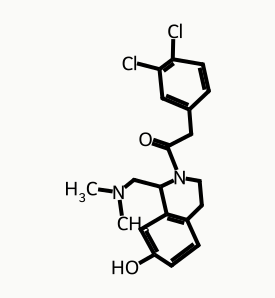 CN(C)CC1c2cc(O)ccc2CCN1C(=O)Cc1ccc(Cl)c(Cl)c1